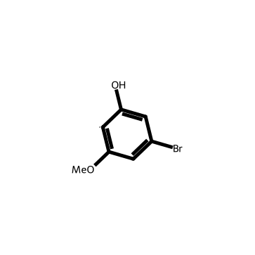 COc1[c]c(O)cc(Br)c1